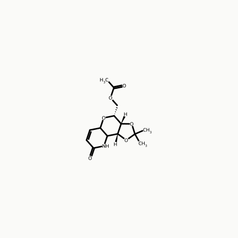 CC(=O)OC[C@H]1OC2C=CC(=O)NC2[C@H]2OC(C)(C)O[C@H]21